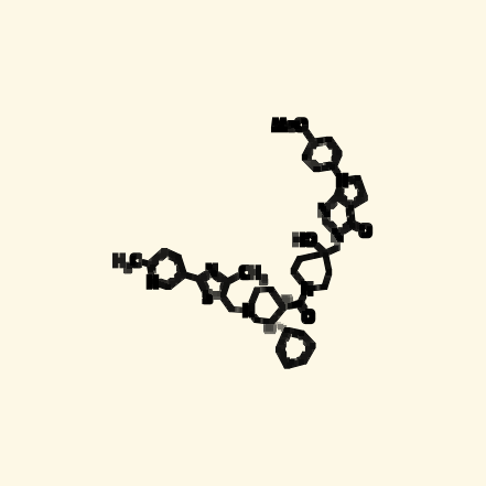 COc1ccc(-n2ccc3c(=O)n(CC4(O)CCN(C(=O)[C@@H]5CCN(Cc6sc(-c7ccc(C)nc7)nc6C)C[C@H]5c5ccccc5)CC4)cnc32)cc1